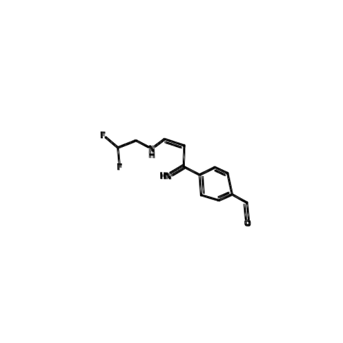 N=C(/C=C\NCC(F)F)c1ccc(C=O)cc1